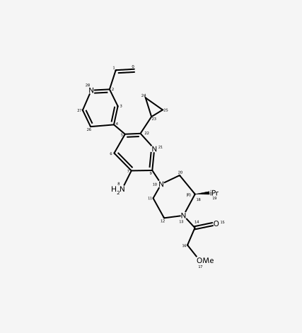 C=Cc1cc(-c2cc(N)c(N3CCN(C(=O)COC)[C@H](C(C)C)C3)nc2C2CC2)ccn1